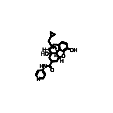 O=C(Nc1ccncc1)C1=C[C@@H]2Oc3c(O)ccc4c3[C@@]23CCN(CC2CC2)[C@H](C4)[C@]3(O)C1